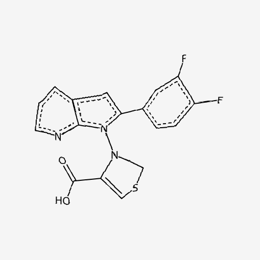 O=C(O)C1=CSCN1n1c(-c2ccc(F)c(F)c2)cc2cccnc21